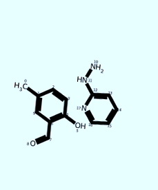 Cc1ccc(O)c(C=O)c1.NNc1ccccn1